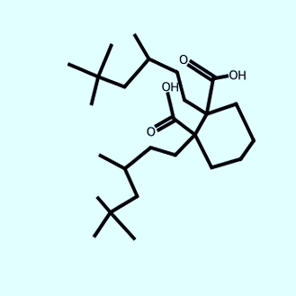 CC(CCC1(C(=O)O)CCCCC1(CCC(C)CC(C)(C)C)C(=O)O)CC(C)(C)C